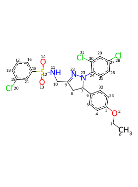 CCOc1ccc(C2CC(CNS(=O)(=O)c3cccc(Cl)c3)=NN2c2ccc(Cl)cc2Cl)cc1